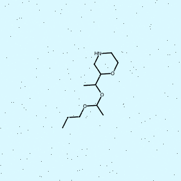 CCCOC(C)OC(C)C1CNCCO1